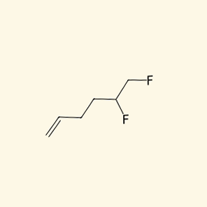 C=CCCC(F)CF